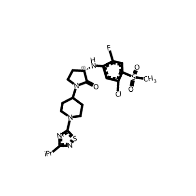 CC(C)c1nsc(N2CCC(N3CC[C@H](Nc4cc(Cl)c(S(C)(=O)=O)cc4F)C3=O)CC2)n1